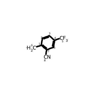 [CH2]c1ccc(C(F)(F)F)cc1C#N